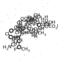 CC[C@H](C)[C@@H]([C@@H](CC(=O)N1CCC[C@H]1C[C@@H](C)C(=O)N[C@H](C)[C@@H](O)c1ccccc1)OC)N(C)C(=O)[C@@H](NC(=O)[C@H](C(C)C)N(C)C(=O)OCc1ccc(NC(=O)[C@H](C)NC(=O)[C@@H](NC(=O)CCOCCC(=O)NCCNc2ncc(-c3cc(C)cc(F)c3)c(N3CCC(N)CC3)c2-c2nc3ccc(Cl)cc3[nH]2)C(C)C)c(O[C@@H]2O[C@H](C(=O)O)[C@@H](O)[C@H](O)[C@H]2O)c1)C(C)C